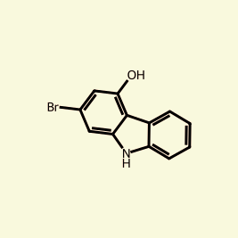 Oc1cc(Br)cc2[nH]c3ccccc3c12